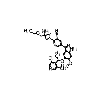 CCOCC1(N)CN(c2ncc(-c3n[nH]c4cc(OC)c(O[C@H](C)c5c(Cl)cncc5Cl)cc34)cc2C#N)C1